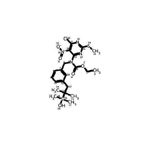 CCOC(=O)N(Cc1cccc(CC(C)(C)[Si](C)(C)O)c1)c1nc(SC)nc(Cl)c1[N+](=O)[O-]